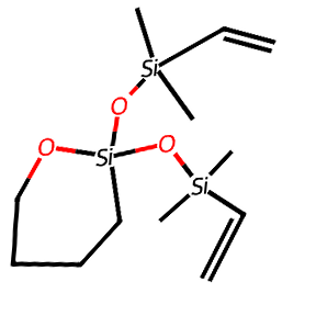 C=C[Si](C)(C)O[Si]1(O[Si](C)(C)C=C)CCCCO1